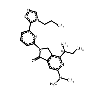 CCCn1cnnc1-c1cccc(N2Cc3c(cc(N(C)C)nc3[C@@H](N)CC)C2=O)n1